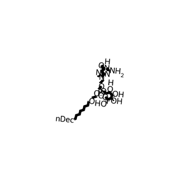 CCCCCCCCCCCCCCCCCCOCCOP(=O)(COCCn1cnc2c(=O)[nH]c(N)nc21)OC1O[C@H](CO)[C@H](O)[C@H](O)[C@H]1O